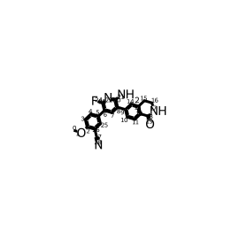 COc1ccc(-c2cc(-c3ccc4c(c3)CCNC4=O)c(N)nc2F)cc1C#N